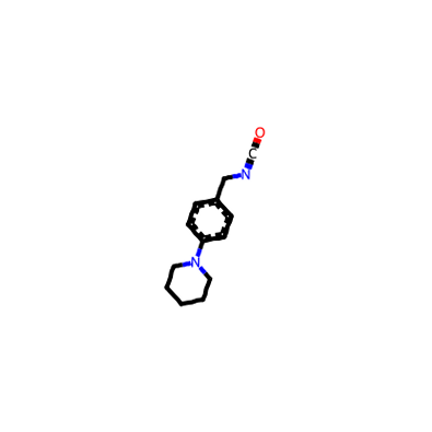 O=C=NCc1ccc(N2CCCCC2)cc1